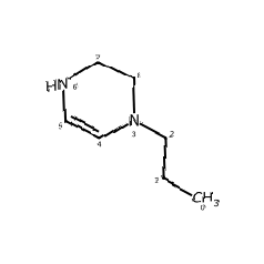 CCCN1C=CNCC1